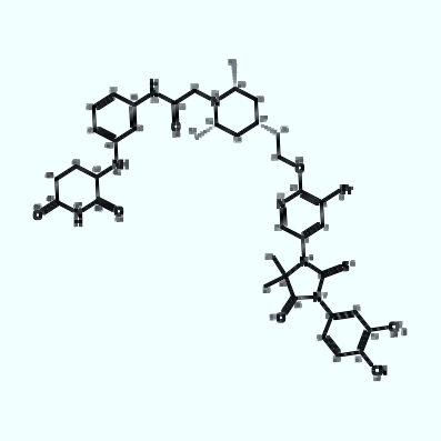 CC(C)c1cc(N2C(=S)N(c3ccc(C#N)c(C(F)(F)F)c3)C(=O)C2(C)C)cnc1OCC[C@H]1C[C@@H](C)N(CC(=O)Nc2cccc(NC3CCC(=O)NC3=O)c2)[C@@H](C)C1